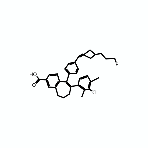 Cc1ccc(C2=C(c3ccc(C=C4CC(CCCF)C4)cc3)c3ccc(C(=O)O)cc3CCC2)c(C)c1Cl